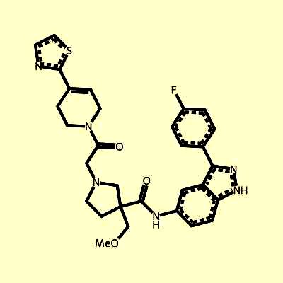 COCC1(C(=O)Nc2ccc3[nH]nc(-c4ccc(F)cc4)c3c2)CCN(CC(=O)N2CC=C(c3nccs3)CC2)C1